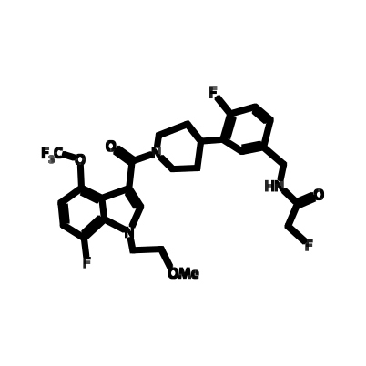 COCCn1cc(C(=O)N2CCC(c3cc(CNC(=O)CF)ccc3F)CC2)c2c(OC(F)(F)F)ccc(F)c21